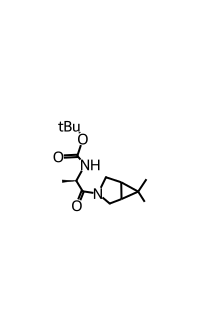 C[C@@H](NC(=O)OC(C)(C)C)C(=O)N1CC2C(C1)C2(C)C